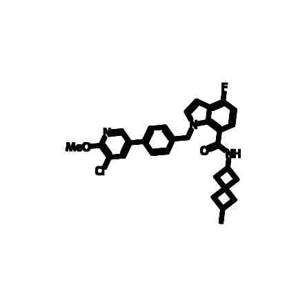 COc1ncc(-c2ccc(Cn3ccc4c(F)ccc(C(=O)NC5CC6(CC(C)C6)C5)c43)cc2)cc1Cl